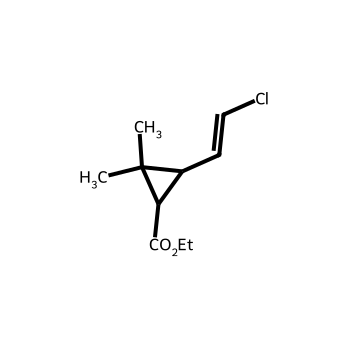 CCOC(=O)C1C(/C=C/Cl)C1(C)C